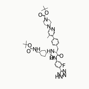 Cc1cc(N2CCN(C(=O)OC(C)(C)C)CC2)ncc1-c1ccc(C[C@H](NC(=O)[C@H]2CC[C@H](CNC(=O)OC(C)(C)C)CC2)C(=O)Nc2ccc(-c3nn[nH]n3)c(F)c2)cc1